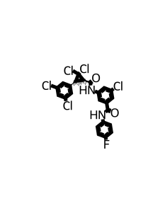 O=C(Nc1ccc(F)cc1)c1cc(Cl)cc(NC(=O)[C@H]2[C@H](c3cc(Cl)cc(Cl)c3)C2(Cl)Cl)c1